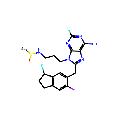 CC(C)(C)[S+]([O-])NCCCn1c(Cc2cc3c(cc2I)CCC3F)nc2c(N)nc(F)nc21